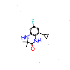 CC1(C)Nc2cc(F)cc(C3CC3)c2NC1=O